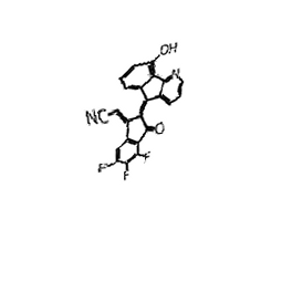 N#C/C=C1/C(=C2/c3cccnc3-c3c(O)cccc32)C(=O)c2c1cc(F)c(F)c2F